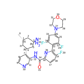 C[C@@H]1C[C@@H](N)C[C@H](c2ccncc2NC(=O)c2ccc(F)c(-c3c(F)cc(N4CCOCC4)cc3F)n2)C1